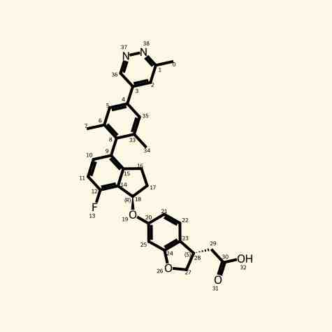 Cc1cc(-c2cc(C)c(-c3ccc(F)c4c3CC[C@H]4Oc3ccc4c(c3)OC[C@H]4CC(=O)O)c(C)c2)cnn1